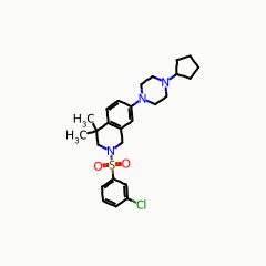 CC1(C)CN(S(=O)(=O)c2cccc(Cl)c2)Cc2cc(N3CCN(C4CCCC4)CC3)ccc21